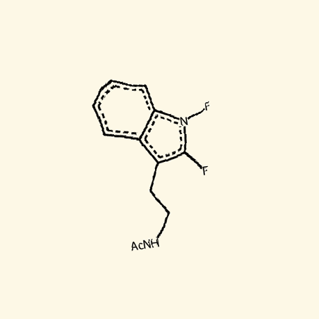 CC(=O)NCCc1c(F)n(F)c2ccccc12